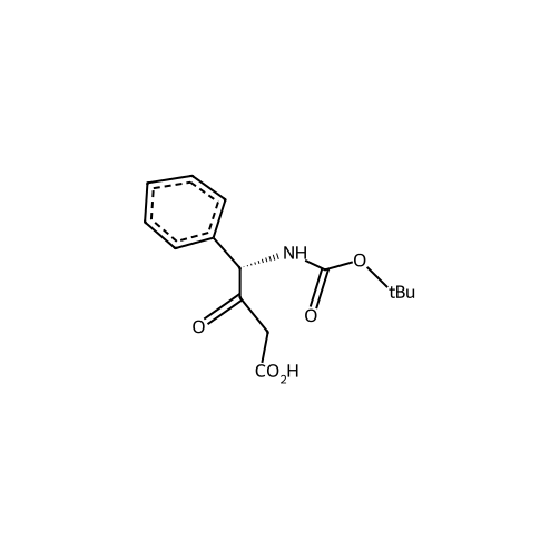 CC(C)(C)OC(=O)N[C@H](C(=O)CC(=O)O)c1ccccc1